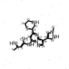 CC(=N)/C=C(\S)Nc1cc(C2CNCCS2)nc2c(C3=CN(C)NC3)cnn12